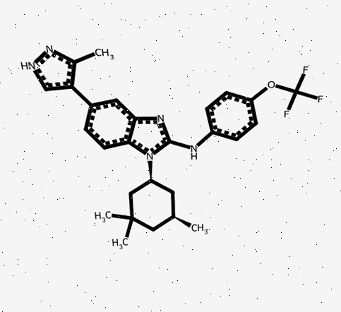 Cc1n[nH]cc1-c1ccc2c(c1)nc(Nc1ccc(OC(F)(F)F)cc1)n2[C@H]1C[C@@H](C)CC(C)(C)C1